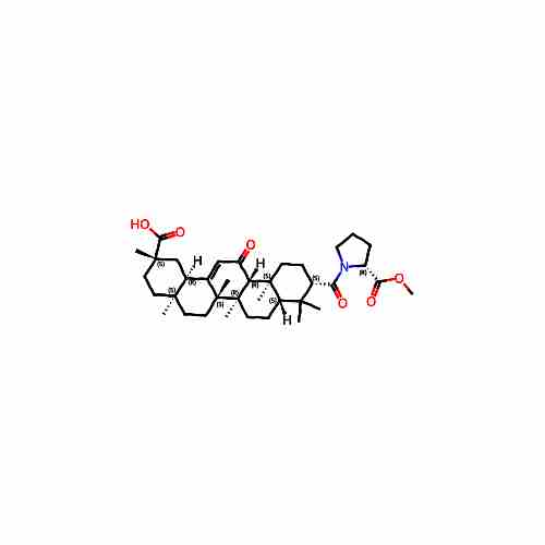 COC(=O)[C@H]1CCCN1C(=O)[C@H]1CC[C@]2(C)[C@H]3C(=O)C=C4[C@@H]5C[C@@](C)(C(=O)O)CC[C@]5(C)CC[C@@]4(C)[C@]3(C)CC[C@H]2C1(C)C